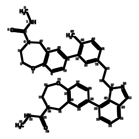 CNC(=O)N1CCOc2ccc(-c3cc(CCn4ncc5cccc(-c6ccc7c(c6)CN(C(=O)NC)CCO7)c54)ccc3C)cc2C1